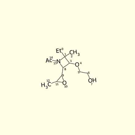 CCC1(C)C(OCCO)C(C2OC2C)N1C(C)=O